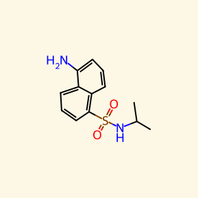 CC(C)NS(=O)(=O)c1cccc2c(N)cccc12